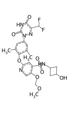 COCOc1cnc(Oc2c(C)cc(-n3nc(C(F)F)c(=O)[nH]c3=O)cc2C)cc1S(=O)(=O)NC1CC(O)C1